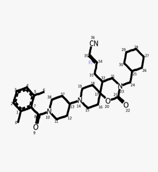 Cc1cccc(C)c1C(=O)N1CCC(N2CCC3(CC2)OC(=O)N(CC2CCCCC2)CC3C/C=C/C#N)CC1